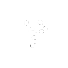 CC1(C)c2ccccc2-c2ccc(N(c3ccc4c(c3)oc3ccccc34)c3ccc4ccc5ccc6ccccc6c5c4c3)cc21